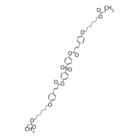 C=CC(=O)OCCCCCCOc1ccc(/C=C/C(=O)Oc2ccc(S(=O)(=O)c3ccc(OC(=O)/C=C/c4ccc(OCCCCCCOC(=O)C=C)cc4)cc3)cc2)cc1